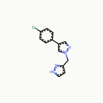 Clc1ccc(-c2cnn(Cc3cc[nH]n3)c2)cc1